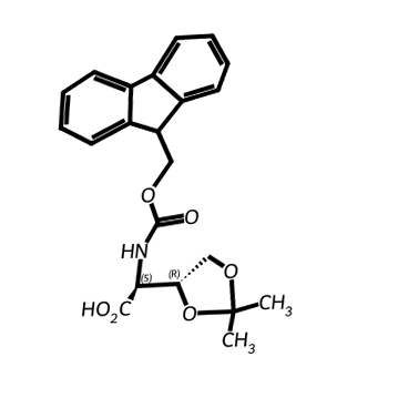 CC1(C)OC[C@@H]([C@H](NC(=O)OCC2c3ccccc3-c3ccccc32)C(=O)O)O1